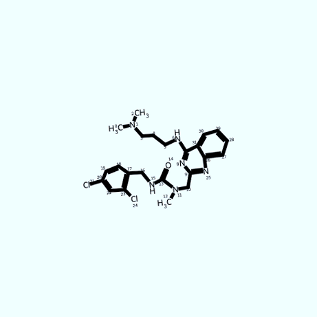 CN(C)CCCNc1nc(CN(C)C(=O)NCc2ccc(Cl)cc2Cl)nc2ccccc12